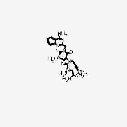 CC#CCn1c(N(C)CC(C)N)nc2c1c(=O)n(Cc1nc(N)c3ccccc3n1)c(=O)n2C